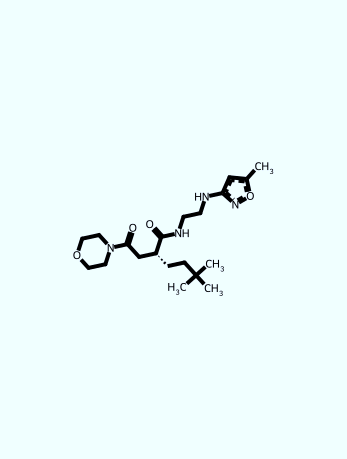 Cc1cc(NCCNC(=O)[C@H](CCC(C)(C)C)CC(=O)N2CCOCC2)no1